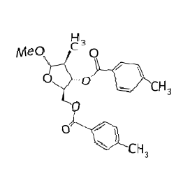 COC1O[C@H](COC(=O)c2ccc(C)cc2)[C@@H](OC(=O)c2ccc(C)cc2)[C@@H]1C